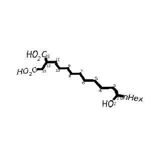 CCCCCCC(O)CCCCCCCCCC(CC(=O)O)C(=O)O